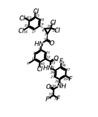 Cc1cc(NC(=O)[C@H]2[C@H](c3cc(Cl)c(Cl)c(Cl)c3)C2(Cl)Cl)cc(C(=O)Nc2cc(NC(=O)C(F)F)c(F)cc2F)c1Cl